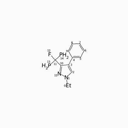 CCn1cc(-c2ccccc2)c(C(F)(P)P)n1